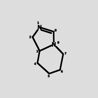 C1=NCC2CCCCN12